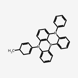 CC1C=CC(N2c3ccccc3B3c4ccccc4N(c4ccccc4)c4cccc2c43)=CC1